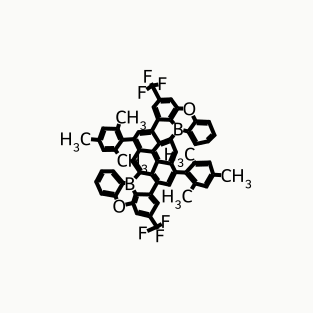 Cc1cc(C)c(-c2cc3c4c(cc5c(-c6c(C)cc(C)cc6C)cc6c7c(cc2c4c57)B2c4ccccc4Oc4cc(C(F)(F)F)cc-6c42)B2c4ccccc4Oc4cc(C(F)(F)F)cc-3c42)c(C)c1